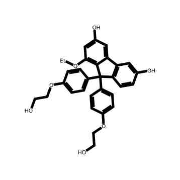 CCOc1cc(O)cc2c1C(c1ccc(OCCO)cc1)(c1ccc(OCCO)cc1)c1ccc(O)cc1-2